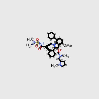 COc1ccc(C2CCCCC2)c2c1cc1n2C=C2C(=C3C=CC[C@@H](C(=O)N(C)CC4CCCN4C)C31)C2C(=O)NS(=O)(=O)N(C)C